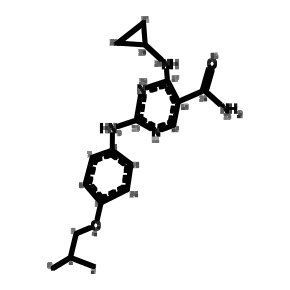 CC(C)COc1ccc(Nc2ncc(C(N)=O)c(NC3CC3)n2)cc1